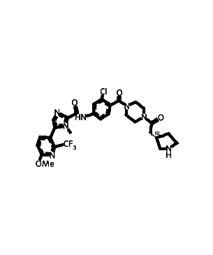 COc1ccc(-c2cnc(C(=O)Nc3ccc(C(=O)N4CCN(C(=O)C[C@@H]5CCNC5)CC4)c(Cl)c3)n2C)c(C(F)(F)F)n1